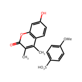 COc1ccc(S(=O)(=O)O)cc1.Cc1c(C)c2ccc(O)cc2oc1=O